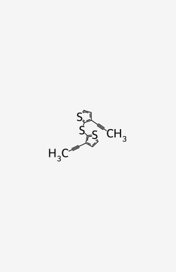 CC#Cc1ccsc1Sc1sccc1C#CC